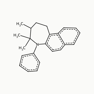 CC1CCc2c(ccc3ccccc23)N(c2ccccc2)C1(C)C